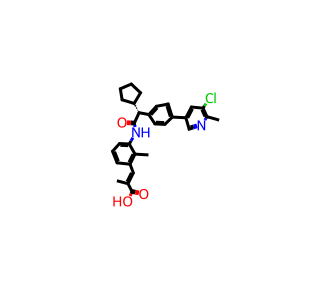 C/C(=C\c1cccc(NC(=O)[C@@H](c2ccc(-c3cnc(C)c(Cl)c3)cc2)C2CCCC2)c1C)C(=O)O